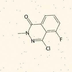 Cn1nc(Cl)c2c(F)cccc2c1=O